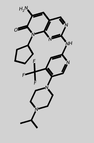 CC(C)N1CCN(c2cnc(Nc3ncc4cc(N)c(=O)n(C5CCCC5)c4n3)cc2C(F)(F)F)CC1